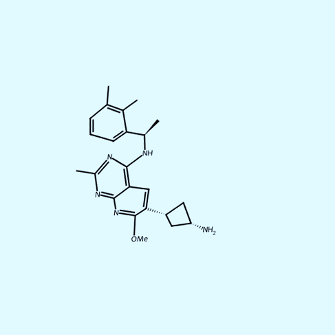 COc1nc2nc(C)nc(N[C@H](C)c3cccc(C)c3C)c2cc1[C@H]1C[C@@H](N)C1